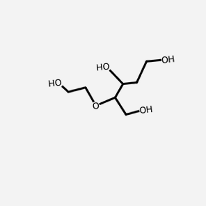 OCCOC(CO)C(O)CCO